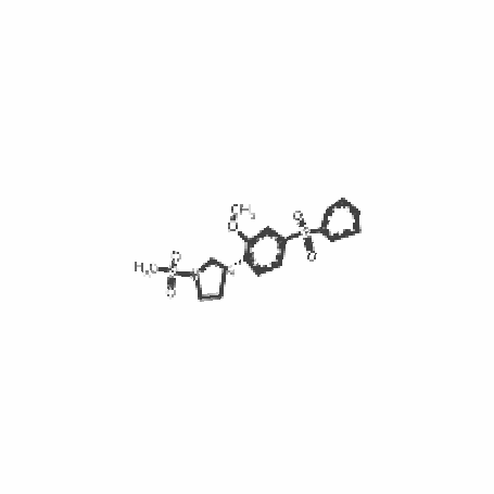 COc1cc(S(=O)(=O)c2ccccc2)ccc1[C@@H]1CCN(S(C)(=O)=O)C1